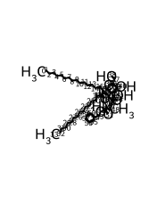 CCCCCCCCCCCCCCCCN(C(=O)CCCCCCCCCCCCCCC)[C@@H]1O[C@H](CO)[C@@H](O)[C@H](O)[C@H]1NC(=O)[C@H](C)NC(=O)OCc1ccccc1